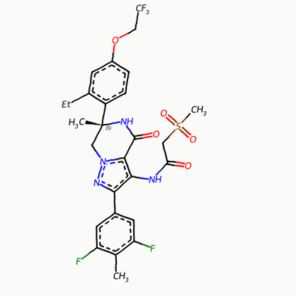 CCc1cc(OCC(F)(F)F)ccc1[C@@]1(C)Cn2nc(-c3cc(F)c(C)c(F)c3)c(NC(=O)CS(C)(=O)=O)c2C(=O)N1